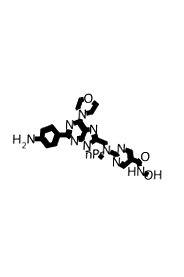 CCCn1c(CN(C)c2ncc(C(=O)NO)cn2)nc2c(N3CCOCC3)nc(-c3ccc(N)cc3)nc21